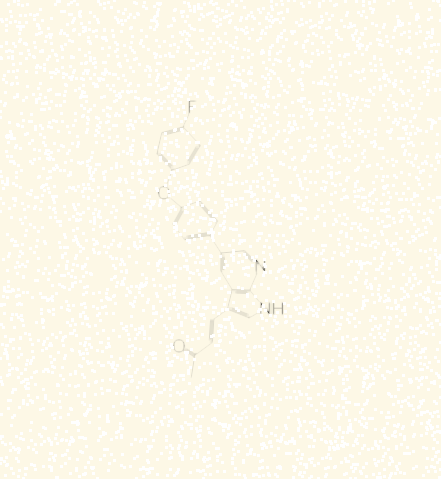 CC(=O)/C=C/c1c[nH]c2ncc(-c3ccc(Oc4ccc(F)cc4)cc3)cc12